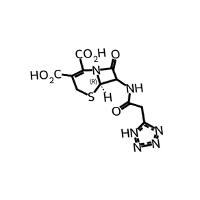 O=C(Cc1nnn[nH]1)NC1C(=O)N2C(C(=O)O)=C(C(=O)O)CS[C@H]12